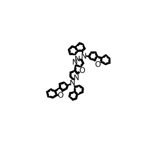 c1ccc2c(N(c3ccc4c(c3)oc3ccccc34)c3cc4oc5nc(N(c6ccc7c(c6)oc6ccccc67)c6cccc7ccccc67)ccc5c4nn3)cccc2c1